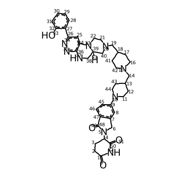 O=C1CCC(N2Cc3cc(N4CCC(CN5CCC(CN6CCN7c8cc(-c9ccccc9O)nnc8NC[C@H]7C6)CC5)CC4)ccc3C2=O)C(=O)N1